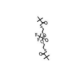 CC(C)(C)C(=O)SCCOP(=O)(OCCSC(=O)C(C)(C)C)C(C)(F)F